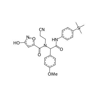 COc1ccc(C(C(=O)Nc2ccc([Si](C)(C)C)cc2)N(CCC#N)C(=O)c2cc(O)no2)cc1